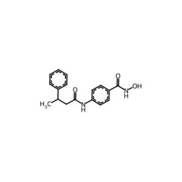 CC(CC(=O)Nc1ccc(C(=O)NO)cc1)c1ccccc1